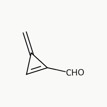 C=C1C=C1C=O